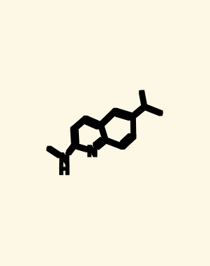 CNc1ccc2cc(C(C)C)ccc2n1